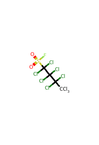 O=S(=O)(F)C(Cl)(Cl)C(Cl)(Cl)C(Cl)(Cl)C(Cl)(Cl)Cl